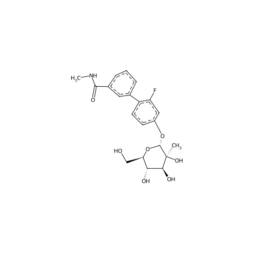 CNC(=O)c1cccc(-c2ccc(O[C@H]3O[C@H](CO)[C@@H](O)[C@H](O)[C@]3(C)O)cc2F)c1